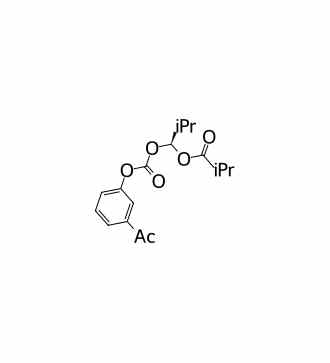 CC(=O)c1cccc(OC(=O)O[C@H](OC(=O)C(C)C)C(C)C)c1